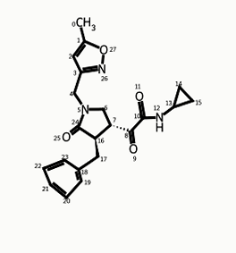 Cc1cc(CN2C[C@H](C(=O)C(=O)NC3CC3)[C@@H](Cc3ccccc3)C2=O)no1